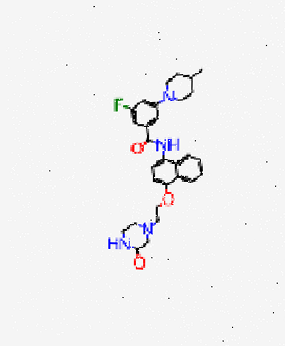 CC1CCN(c2cc(F)cc(C(=O)Nc3ccc(OCCN4CCNC(=O)C4)c4ccccc34)c2)CC1